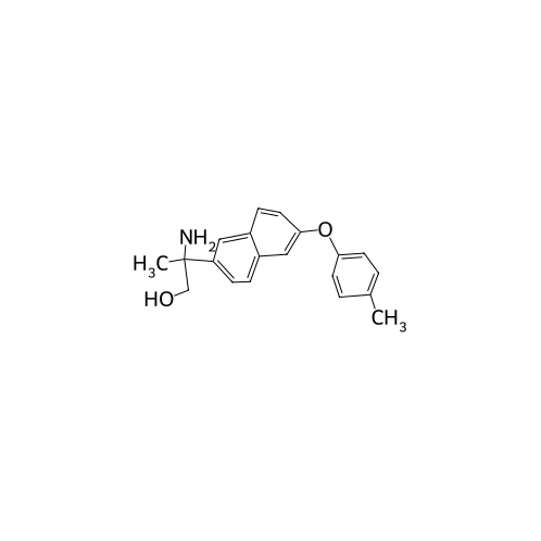 Cc1ccc(Oc2ccc3cc(C(C)(N)CO)ccc3c2)cc1